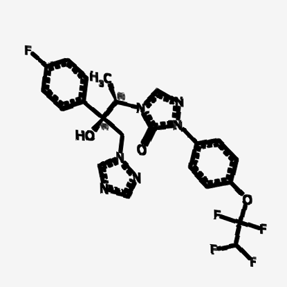 C[C@@H](n1cnn(-c2ccc(OC(F)(F)C(F)F)cc2)c1=O)[C@](O)(Cn1cncn1)c1ccc(F)cc1